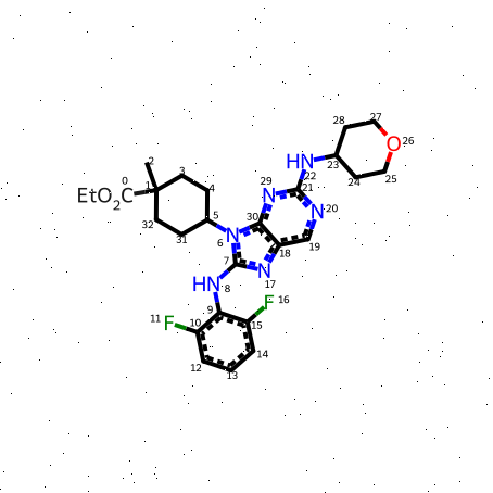 CCOC(=O)C1(C)CCC(n2c(Nc3c(F)cccc3F)nc3cnc(NC4CCOCC4)nc32)CC1